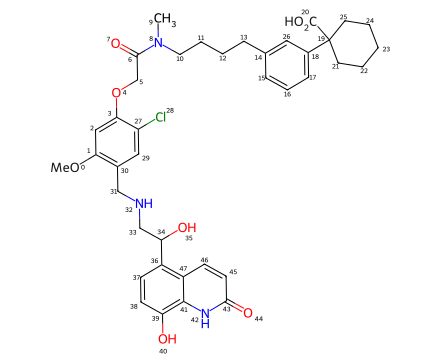 COc1cc(OCC(=O)N(C)CCCCc2cccc(C3(C(=O)O)CCCCC3)c2)c(Cl)cc1CNCC(O)c1ccc(O)c2[nH]c(=O)ccc12